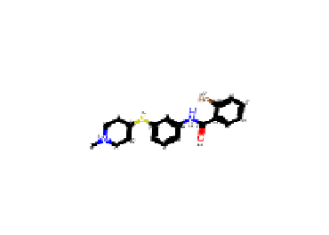 CN1CCC(Sc2cccc(NC(=O)c3ccccc3Br)c2)CC1